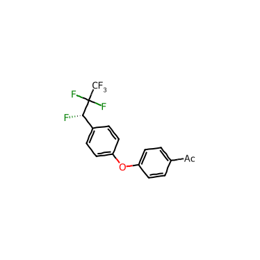 CC(=O)c1ccc(Oc2ccc([C@H](F)C(F)(F)C(F)(F)F)cc2)cc1